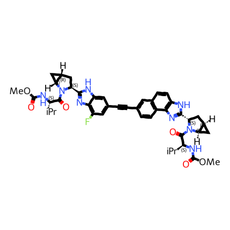 COC(=O)N[C@H](C(=O)N1[C@@H]2C[C@@H]2C[C@H]1c1nc2c(F)cc(C#Cc3ccc4c(ccc5[nH]c([C@@H]6C[C@H]7C[C@H]7N6C(=O)[C@@H](NC(=O)OC)C(C)C)nc54)c3)cc2[nH]1)C(C)C